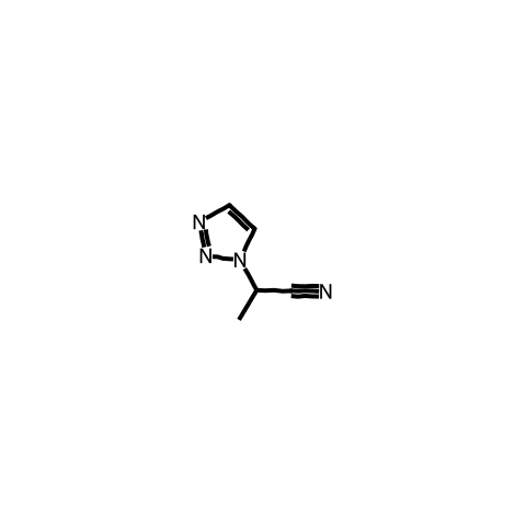 CC(C#N)n1ccnn1